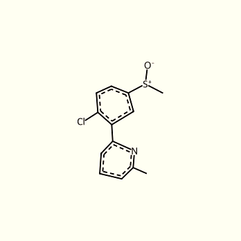 Cc1cccc(-c2cc([S+](C)[O-])ccc2Cl)n1